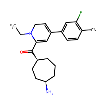 N#Cc1ccc(C2=CCN(CC(F)(F)F)C(C(=O)[C@H]3CCC[C@@H](N)CC3)=C2)cc1F